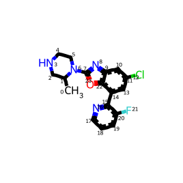 CC1CNCCN1c1nc2cc(Cl)cc(-c3ncccc3F)c2o1